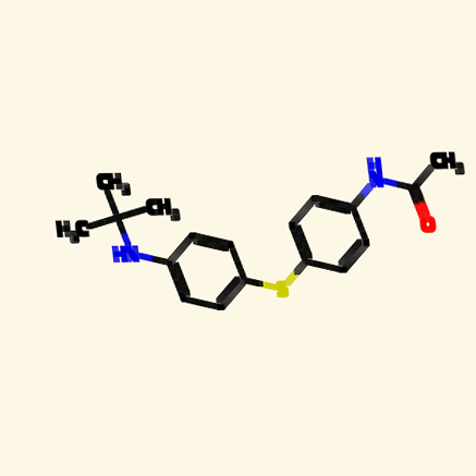 CC(=O)Nc1ccc(Sc2ccc(NC(C)(C)C)cc2)cc1